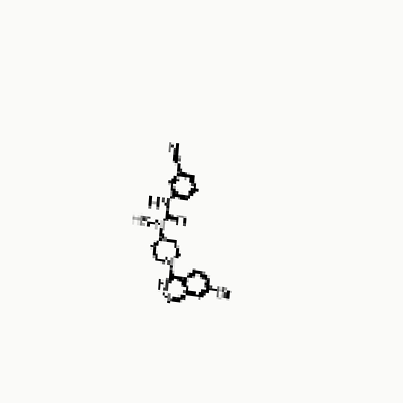 N#Cc1cccc(NC(=O)N(S)C2CCN(c3nncc4cc(Br)ccc34)CC2)c1